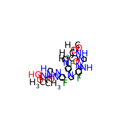 COC(=O)N[C@H](C(=O)N1CCC[C@H]1c1nc2cc([C@H]3CC[C@H](c4cc5nc([C@@H]6CCCN6C(=O)[C@@H](NC(=O)O)C(C)C)[nH]c5cc4F)N3c3ccc(N4CCCCC4)c(F)c3)c(F)cc2[nH]1)C(C)C